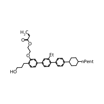 C=CC(=O)OCCOc1cc(-c2ccc(-c3ccc(C4CCC(CCCCC)CC4)cc3)c(CC)c2)ccc1CCCO